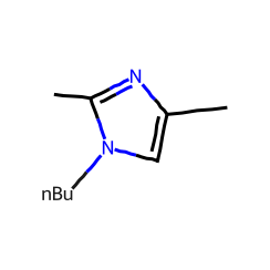 CCCCn1cc(C)nc1C